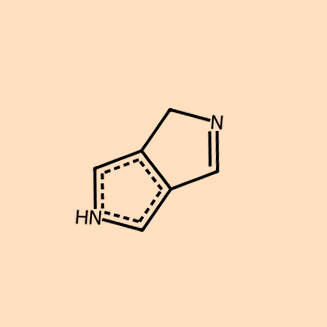 C1=NCc2c[nH]cc21